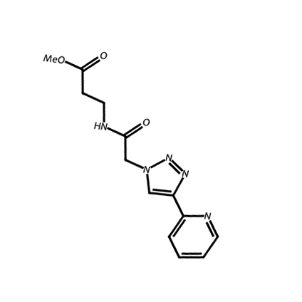 COC(=O)CCNC(=O)Cn1cc(-c2ccccn2)nn1